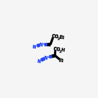 CCC(=[N+]=[N-])C(=O)O.CCOC(=O)C=[N+]=[N-]